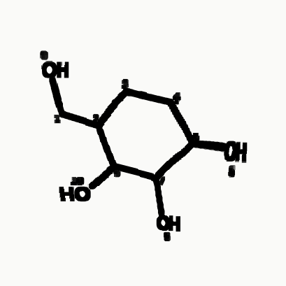 OCC1C[CH]C(O)C(O)C1O